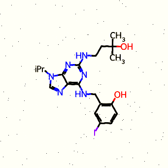 CC(C)n1cnc2c(NCc3cc(I)ccc3O)nc(NCCC(C)(C)O)nc21